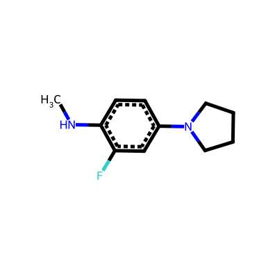 CNc1ccc(N2CCCC2)cc1F